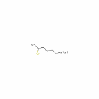 CCCCCCCCCC(S)CCC